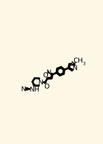 Cn1cc(-c2ccc(-c3cc(C(=O)N4CCC[C@@H](NC#N)C4)on3)cc2)cn1